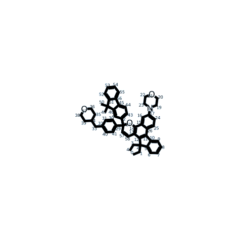 CCC1(CC)c2ccccc2-c2c1c1c(c3cc(N4CCOCC4)ccc23)OC(c2ccc(CC3CCOCC3)cc2)(c2ccc3c(c2)C(C)(C)c2ccccc2-3)C=C1